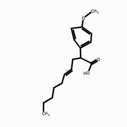 CCCCC/C=C/CC(C(=O)O)c1ccc(OC)cc1